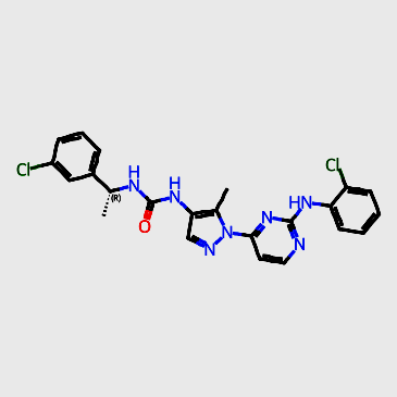 Cc1c(NC(=O)N[C@H](C)c2cccc(Cl)c2)cnn1-c1ccnc(Nc2ccccc2Cl)n1